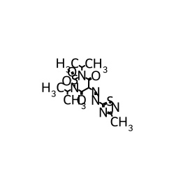 Cc1nsc(N=NC2C(=O)N(C(C)C)S(=O)(=O)N(C(C)C)C2=O)n1